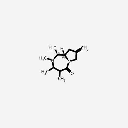 C=C1C[C@H]2[C@H](C)N(C)C(C)C(C)C(=O)N2C1